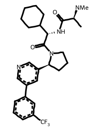 CN[C@@H](C)C(=O)N[C@H](C(=O)N1CCC[C@H]1c1cncc(-c2cccc(C(F)(F)F)c2)c1)C1CCCCC1